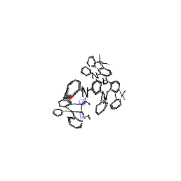 C=C/C=C1\C(=C(/C)N(c2ccccc2)c2cc3c4c(c2)N(c2ccccc2)c2c(ccc5c2-c2ccccc2C5(C)C)B4c2ccc4c(c2N3c2ccccc2)-c2ccccc2C4(C)C)c2ccccc2C1(c1ccccc1)c1ccccc1